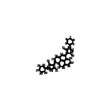 Cc1nn(-c2ccccc2)c(C)c1-c1cc2ccc(-c3c(C)nn(-c4ccccc4)c3C)c3ccc4cccc1c4c23